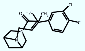 CCC(=O)N1CC2CC(C1)N2C/C=C(\C)c1ccc(Cl)c(Cl)c1